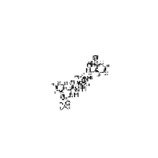 CC(C)(C)OC(=O)NC(C(=O)O[C@H]1C[N+]2(CC(=O)c3ccccc3[N+](=O)[O-])CCC1CC2)c1ccccc1